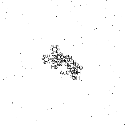 CCCCO[C@H]1C(CO[C@]2(C(=O)OC)C[C@H]3OC(=O)N[C@H]3C([C@H](OC(C)=O)[C@H](O)CO)O2)O[C@@H](S)[C@@H](OC(=O)c2ccccc2)C1OC(=O)c1ccccc1